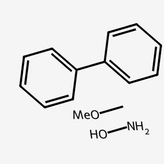 COC.NO.c1ccc(-c2ccccc2)cc1